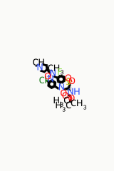 CCN1CCC(C)(c2nc(-c3cc4c(cc3F)S(=O)(=O)C[C@H](NC(=O)OC(C)(C)C)C(=O)N4Cc3ccc(Cl)cc3)no2)CC1